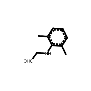 Cc1cccc(C)c1NCC=O